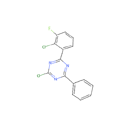 Fc1cccc(-c2nc(Cl)nc(-c3ccccc3)n2)c1Cl